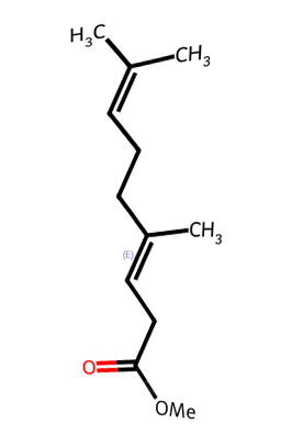 COC(=O)C/C=C(\C)CCC=C(C)C